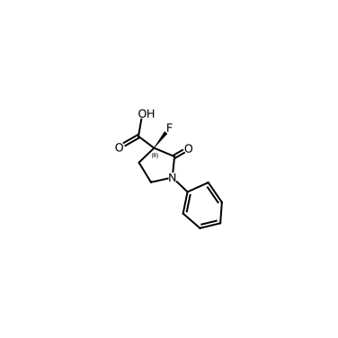 O=C(O)[C@@]1(F)CCN(c2ccccc2)C1=O